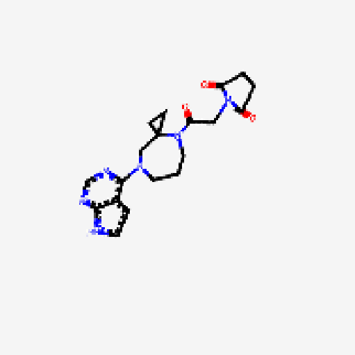 O=C1CCC(=O)N1CC(=O)N1CCCN(c2ncnc3[nH]ccc23)CC12CC2